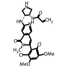 C=CC(=O)N[C@H]1CNC[C@H]1Nc1cc2c(=O)n(C)c(-c3c(Cl)c(OC)cc(OC)c3Cl)cc2cn1